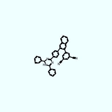 N#Cc1cc(C#N)cc(-c2cc3ccccc3cc2-c2ccc(C3=NC(c4ccccc4)NC(c4ccccc4)=N3)cc2)c1